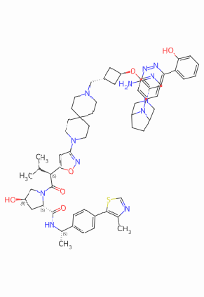 Cc1ncsc1-c1ccc([C@H](C)NC(=O)[C@@H]2C[C@@H](O)CN2C(=O)[C@H](c2cc(N3CCC4(CCN(C[C@H]5C[C@H](Oc6cc(N7C8CCC7CN(c7cc(-c9ccccc9O)nnc7N)C8)ccn6)C5)CC4)CC3)no2)C(C)C)cc1